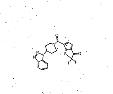 O=C(c1ccc(C(=O)C(F)(F)F)s1)N1CCC(n2nnc3ccccc32)CC1